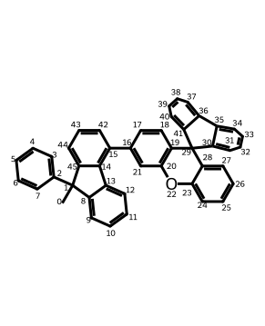 CC1(c2ccccc2)c2ccccc2-c2c(-c3ccc4c(c3)Oc3ccccc3C43c4ccccc4-c4ccccc43)cccc21